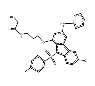 Cc1ccc(S(=O)(=O)n2c3ccc(Cl)cc3c3cc(Nc4ccccc4)cc(OCCCNC(=O)OC(C)(C)C)c32)cc1